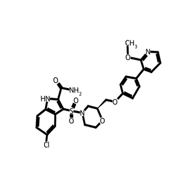 COc1ncccc1-c1ccc(OC[C@@H]2CN(S(=O)(=O)c3c(C(N)=O)[nH]c4ccc(Cl)cc34)CCO2)cc1